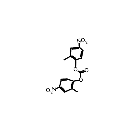 Cc1cc([N+](=O)[O-])ccc1OC(=O)Oc1ccc([N+](=O)[O-])cc1C